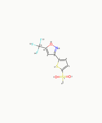 CS(=O)(=O)c1ccc(-c2cc(C(F)(F)F)on2)s1